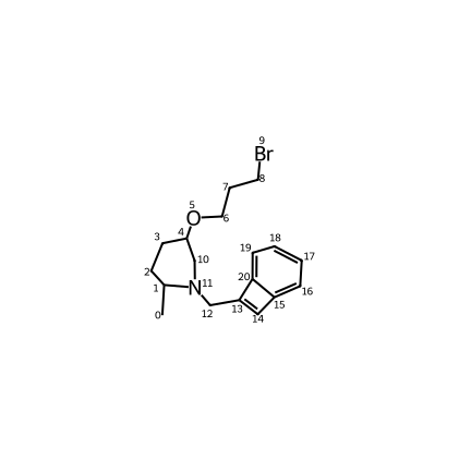 CC1CCC(OCCCBr)CN1CC1=Cc2ccccc21